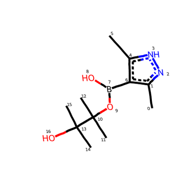 Cc1n[nH]c(C)c1B(O)OC(C)(C)C(C)(C)O